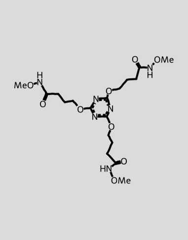 CONC(=O)CCCOc1nc(OCCCC(=O)NOC)nc(OCCCC(=O)NOC)n1